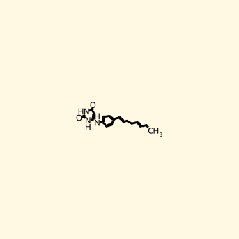 CCC=CCCC=Cc1ccc(Nc2cc(=O)[nH]c(=O)[nH]2)cc1